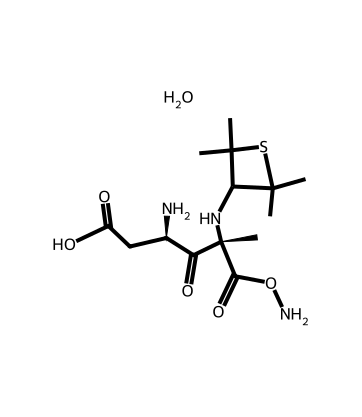 CC1(C)SC(C)(C)C1N[C@](C)(C(=O)ON)C(=O)[C@H](N)CC(=O)O.O